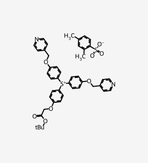 CC(C)(C)OC(=O)COc1ccc([S+](c2ccc(OCc3ccncc3)cc2)c2ccc(OCc3ccncc3)cc2)cc1.Cc1ccc(S(=O)(=O)[O-])c(C)c1